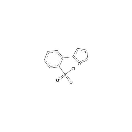 O=S(=O)(Cl)c1ccccc1-c1ccco1